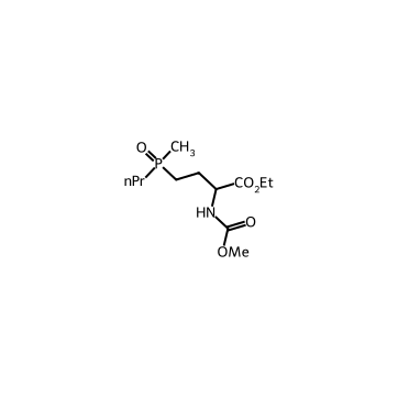 CCCP(C)(=O)CCC(NC(=O)OC)C(=O)OCC